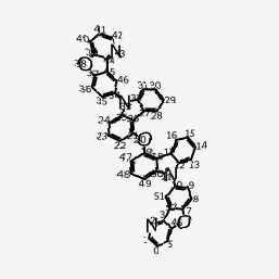 c1cnc2c(c1)oc1ccc(-n3c4ccccc4c4c(Oc5cccc6c5c5ccccc5n6-c5ccc6oc7cccnc7c6c5)cccc43)cc12